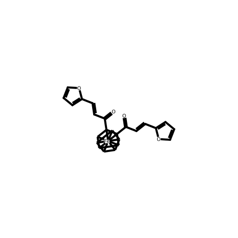 O=C(C=Cc1ccco1)[C]12[CH]3[CH]4[CH]5[C]1(C(=O)C=Cc1ccco1)[Fe]43521678[CH]2[CH]1[CH]6[CH]7[CH]28